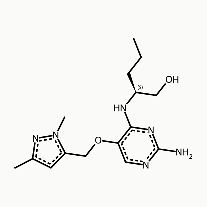 CCC[C@@H](CO)Nc1nc(N)ncc1OCc1cc(C)nn1C